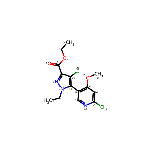 CCOC(=O)c1nn(CC)c(-c2cnc(Cl)cc2OC)c1Cl